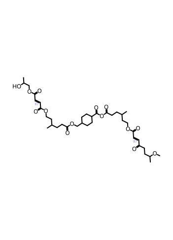 COC(C)CCC(=O)/C=C/C(=O)OCCC(C)CCC(=O)OC(=O)C1CCC(COC(=O)CCC(C)CCOC(=O)/C=C/C(=O)OCC(C)O)CC1